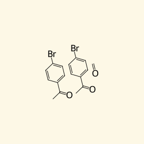 C=O.CC(=O)c1ccc(Br)cc1.CC(=O)c1ccc(Br)cc1